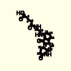 O=C(O)CCCC(=O)NCCNc1cccc2c1C(=O)N(C1CCC(=O)NC1=O)C2=O